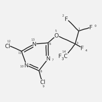 FC(F)C(F)(Oc1nc(Cl)nc(Cl)n1)C(F)(F)F